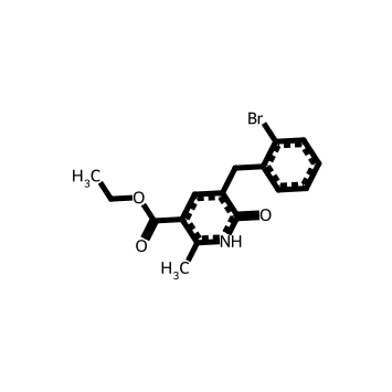 CCOC(=O)c1cc(Cc2ccccc2Br)c(=O)[nH]c1C